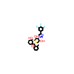 Cc1ccccc1[C@H]([SH]1C[C@H](O)[C@H](n2cc(-c3cc(F)c(F)c(F)c3)nn2)[C@@H](O)[C@H]1CO)C1(O)CCCCC1